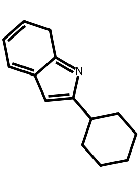 C1=CCC2=NC(C3CCCCC3)=CC2=C1